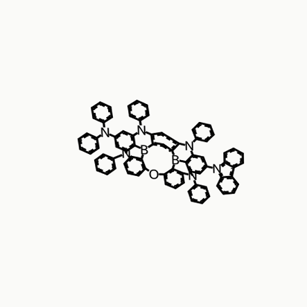 c1ccc(N(c2ccccc2)c2cc3c4c(c2)N(c2ccccc2)c2cccc5c2B4c2cc4c(cc2N3c2ccccc2)N(c2ccccc2)c2cc(-n3c6ccccc6c6ccccc63)cc3c2B4c2c(cccc2N3c2ccccc2)O5)cc1